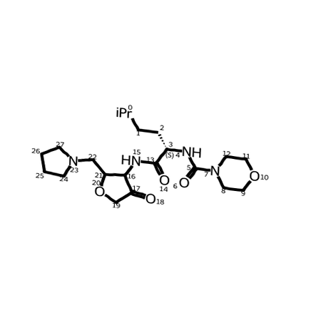 CC(C)CC[C@H](NC(=O)N1CCOCC1)C(=O)NC1C(=O)COC1CN1CCCC1